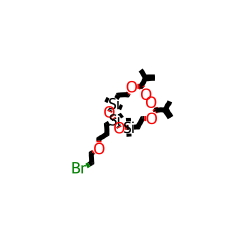 C=C(C)C(=O)OCC[Si](C)(C)O[Si](C)(CCCOCCBr)O[Si](C)(C)CCOC(=O)C(=C)C